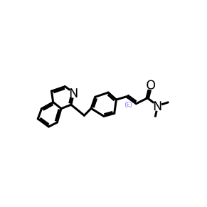 CN(C)C(=O)/C=C/c1ccc(Cc2nccc3ccccc23)cc1